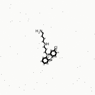 NCCCCNCCCN1c2ccccc2Sc2ccc(Cl)cc21